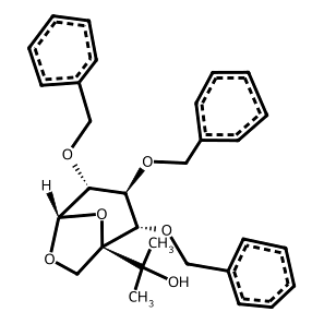 CC(C)(O)[C@@]12CO[C@@H](O1)[C@H](OCc1ccccc1)[C@@H](OCc1ccccc1)[C@@H]2OCc1ccccc1